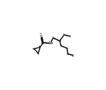 CCCCC(CC)CNC(=O)C1CC1